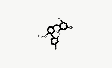 COc1ccc(Cc2c(Cl)cc(O)cc2Cl)cc1-c1ccc(F)cc1F